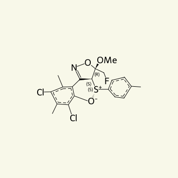 CO[C@]1(CF)ON=C(c2c(C)c(Cl)c(C)c(Cl)c2C)[C@@H]1[S@@+]([O-])c1ccc(C)cc1